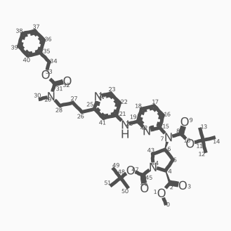 COC(=O)[C@@H]1C[C@H](N(C(=O)OC(C)(C)C)c2cccc(Nc3ccnc(CCCN(C)C(=O)OCc4ccccc4)c3)n2)CN1C(=O)OC(C)(C)C